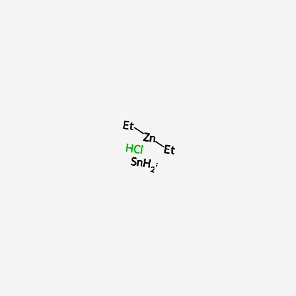 C[CH2][Zn][CH2]C.Cl.[SnH2]